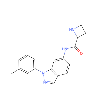 Cc1cccc(-n2ncc3ccc(NC(=O)C4CCN4)cc32)c1